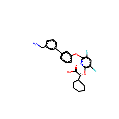 NCc1cccc(-c2cccc(Oc3nc(O[C@@H](C(=O)O)C4CCCCC4)c(F)cc3F)c2)c1